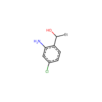 CCC(O)c1ccc(Cl)cc1N